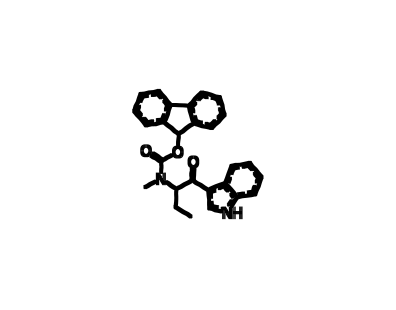 CCC(C(=O)c1c[nH]c2ccccc12)N(C)C(=O)OC1c2ccccc2-c2ccccc21